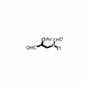 CCN(C=O)CC([C]=O)OC(C)=O